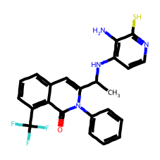 CC(Nc1ccnc(S)c1N)c1cc2cccc(C(F)(F)F)c2c(=O)n1-c1ccccc1